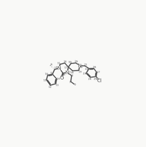 CCCN1C(=O)N([C@@H](C)c2ccccc2)CCC12CCN(Cc1ccc(Cl)cc1)CC2